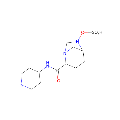 O=C(NC1CCNCC1)C1CCC2CN1CN2OS(=O)(=O)O